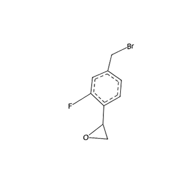 Fc1cc(CBr)ccc1C1CO1